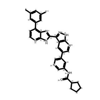 Cc1cc(F)cc(-c2ccnc3[nH]c(-c4n[nH]c5ncc(-c6cncc(NC(=O)C7CCCC7)c6)cc45)nc23)c1